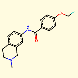 CN1CCc2ccc(NC(=O)c3ccc(OCF)cc3)cc2C1